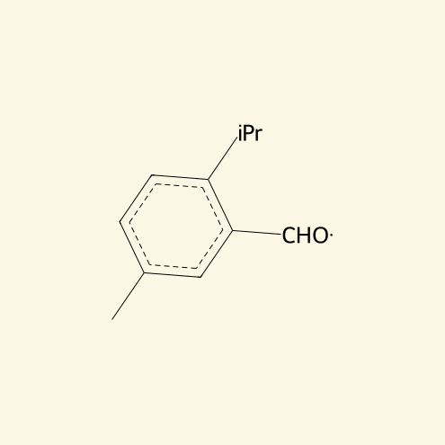 Cc1ccc(C(C)C)c([C]=O)c1